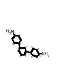 Nc1ccc(-c2cccc(-c3ccc(N)cc3)c2)cc1